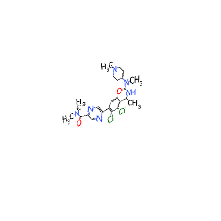 CC(NC(=O)N(C)C1CCN(C)CC1)c1ccc(-c2cnc(C(=O)N(C)C)cn2)c(Cl)c1Cl